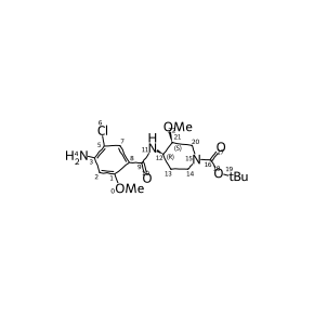 COc1cc(N)c(Cl)cc1C(=O)N[C@@H]1CCN(C(=O)OC(C)(C)C)C[C@@H]1OC